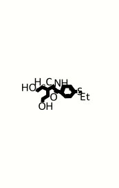 CCSc1ccc(C(=O)C(C)(N)C(CCO)CCO)cc1